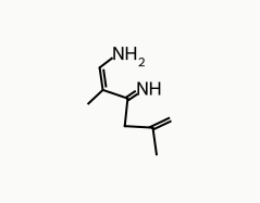 C=C(C)CC(=N)/C(C)=C\N